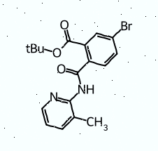 Cc1cccnc1NC(=O)c1ccc(Br)cc1C(=O)OC(C)(C)C